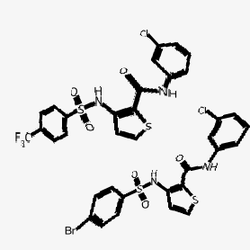 O=C(Nc1cccc(Cl)c1)c1sccc1NS(=O)(=O)c1ccc(Br)cc1.O=C(Nc1cccc(Cl)c1)c1sccc1NS(=O)(=O)c1ccc(C(F)(F)F)cc1